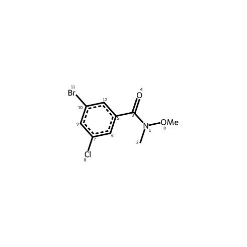 CON(C)C(=O)c1cc(Cl)cc(Br)c1